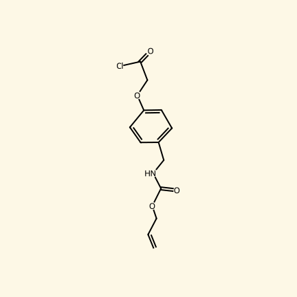 C=CCOC(=O)NCc1ccc(OCC(=O)Cl)cc1